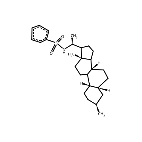 C[C@H]1CC[C@@H]2C3CC[C@@]4(C)C(CCC4[C@H](C)NS(=O)(=O)c4ccccc4)[C@@H]3CC[C@@H]2C1